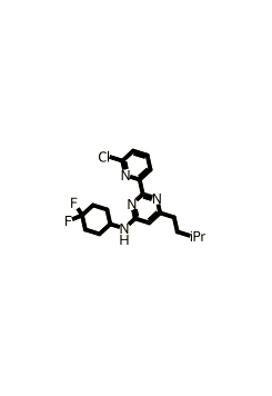 CC(C)CCc1cc(NC2CCC(F)(F)CC2)nc(-c2cccc(Cl)n2)n1